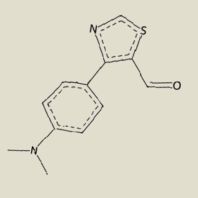 CN(C)c1ccc(-c2ncsc2C=O)cc1